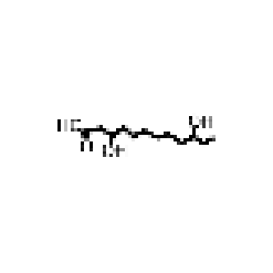 CCC(O)CCCCCCC(O)CC(=O)O